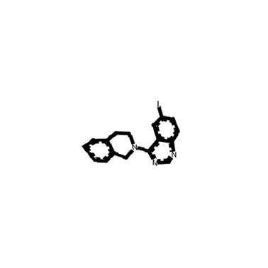 Ic1ccc2ncnc(N3CCc4ccccc4C3)c2c1